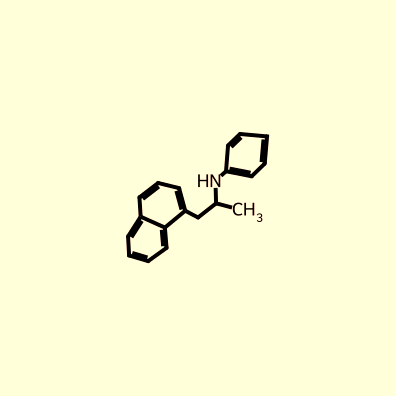 CC(Cc1cccc2ccccc12)Nc1ccccc1